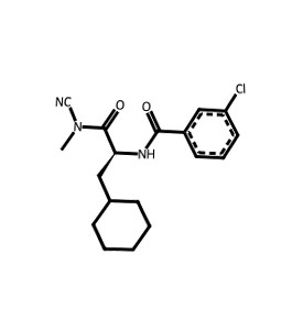 CN(C#N)C(=O)[C@H](CC1CCCCC1)NC(=O)c1cccc(Cl)c1